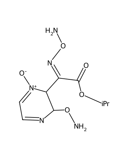 CC(C)OC(=O)C(=NON)C1C(ON)N=CC=[N+]1[O-]